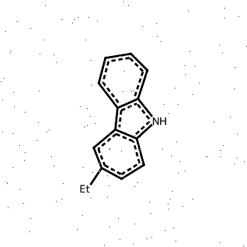 [CH2]Cc1ccc2[nH]c3ccccc3c2c1